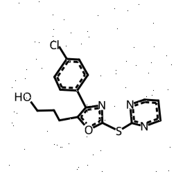 OCCCc1oc(Sc2ncccn2)nc1-c1ccc(Cl)cc1